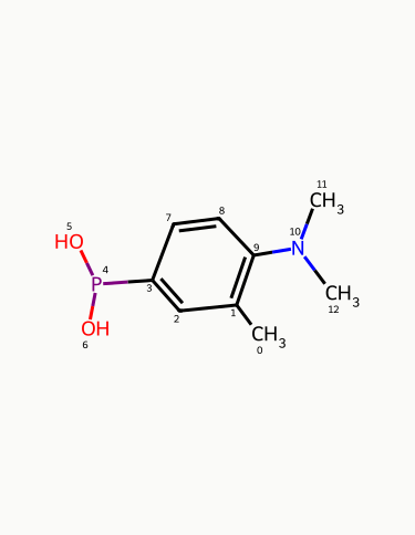 Cc1cc(P(O)O)ccc1N(C)C